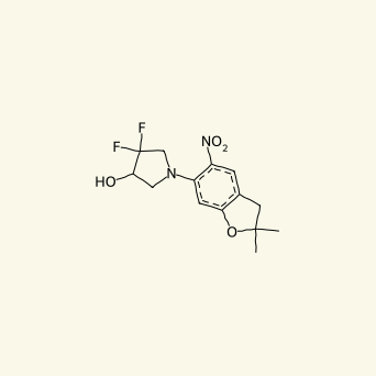 CC1(C)Cc2cc([N+](=O)[O-])c(N3CC(O)C(F)(F)C3)cc2O1